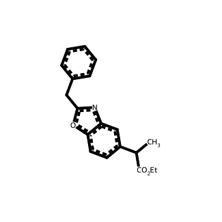 CCOC(=O)C(C)c1ccc2oc(Cc3ccccc3)nc2c1